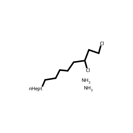 CCCCCCCCCCCCC(Cl)CCCl.N.N